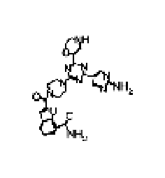 NC(=O)c1cccc2cc(C(=O)N3CCN(c4nc(-c5cnc(N)nc5)nc(C5CNCCO5)n4)CC3)oc12